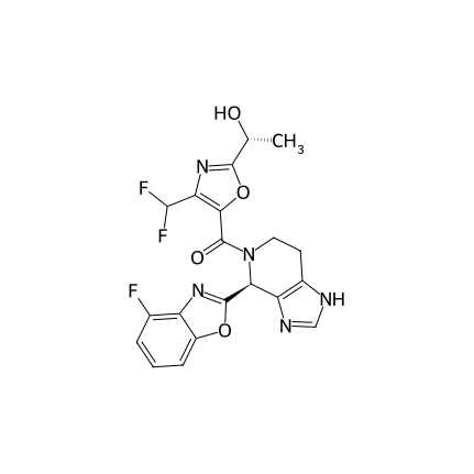 C[C@@H](O)c1nc(C(F)F)c(C(=O)N2CCc3[nH]cnc3[C@H]2c2nc3c(F)cccc3o2)o1